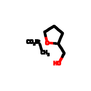 CCOC(C)=O.OCC1CCCO1